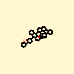 c1ccc2c(c1)-c1ccc3ccc(-c4c5ccccc5c(-c5ccc6c(c5)oc5ccccc56)c5ccccc45)cc3c1C21C2CC3CC(C2)CC1C3